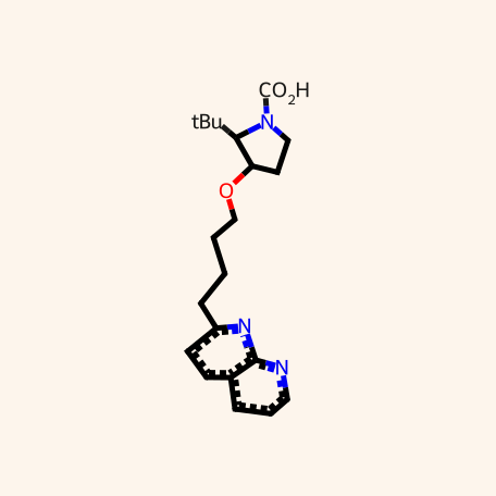 CC(C)(C)C1C(OCCCCc2ccc3cccnc3n2)CCN1C(=O)O